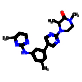 Cc1cc(Nc2nccc(C(F)(F)F)n2)cc(-c2cnc(N3CCN(C)C(=O)C3C)nc2)c1